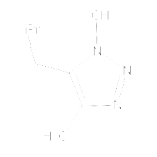 Cc1nnn(C)c1CC(C)C